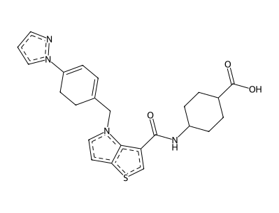 O=C(NC1CCC(C(=O)O)CC1)c1csc2ccn(CC3=CC=C(n4cccn4)CC3)c12